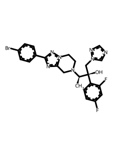 C[C@@H](N1CCn2nc(-c3ccc(Br)cc3)nc2C1)[C@](O)(Cn1cncn1)c1ccc(F)cc1F